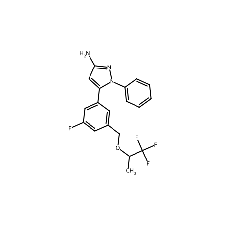 CC(OCc1cc(F)cc(-c2cc(N)nn2-c2ccccc2)c1)C(F)(F)F